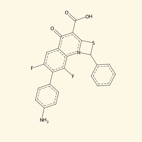 Nc1ccc(-c2c(F)cc3c(=O)c(C(=O)O)c4n(c3c2F)C(c2ccccc2)S4)cc1